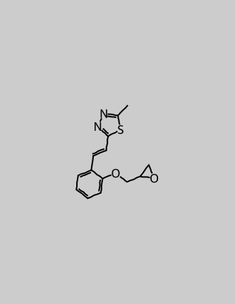 Cc1nnc(/C=C/c2ccccc2OCC2CO2)s1